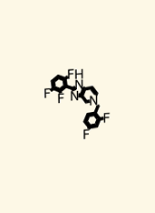 Fc1ccc(CN2C=Cc3[nH]c(-c4c(F)ccc(F)c4F)nc3C2)c(F)c1